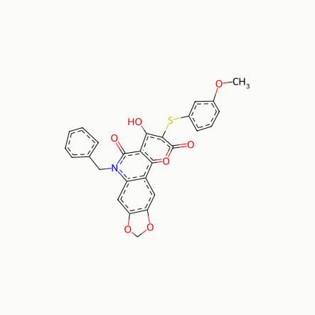 COc1cccc(Sc2c(O)c3c(=O)n(Cc4ccccc4)c4cc5c(cc4c3oc2=O)OCO5)c1